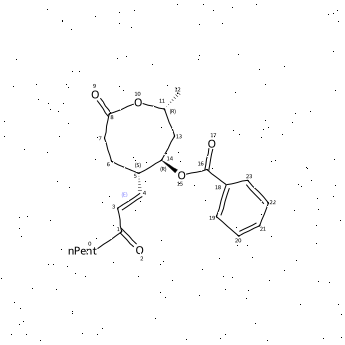 CCCCCC(=O)/C=C/[C@@H]1CCC(=O)O[C@H](C)C[C@H]1OC(=O)c1ccccc1